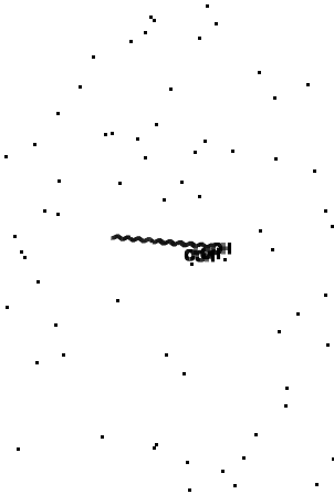 CCCCCCCCCC=CC=CC=CC=C(CC(O)CO)C(=O)O